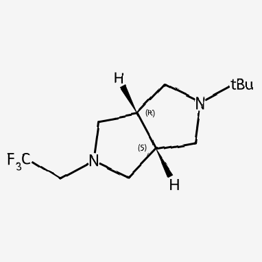 CC(C)(C)N1C[C@H]2CN(CC(F)(F)F)C[C@H]2C1